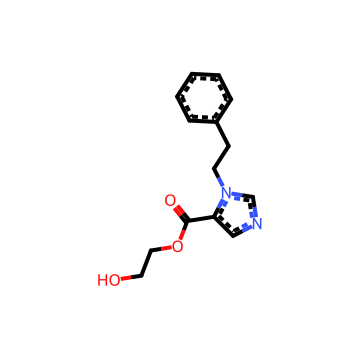 O=C(OCCO)c1cncn1CCc1ccccc1